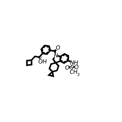 CS(=O)(=O)Nc1ccc2c(c1)C1(CCC3(CC3)CC1)CN2C(=O)c1cccc([C@@H](O)CC2CCC2)c1